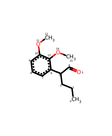 CCCC(C=O)c1cccc(OC)c1OC